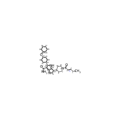 CC/C=C/C(=O)N1CCC(c2cnn3c(C(N)=O)c(-c4ccc(Oc5ccccc5)cc4)[nH]c23)CC1